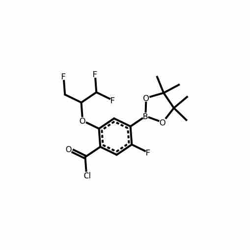 CC1(C)OB(c2cc(OC(CF)C(F)F)c(C(=O)Cl)cc2F)OC1(C)C